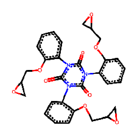 O=c1n(-c2ccccc2OCC2CO2)c(=O)n(-c2ccccc2OCC2CO2)c(=O)n1-c1ccccc1OCC1CO1